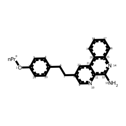 CCCOc1ccc(CCc2cnc3c(N)nc4ccccc4c3c2)cc1